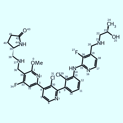 COc1nc(-c2ccnc(-c3cccc(Nc4nccc(CNC[C@@H](C)O)c4F)c3Cl)c2Cl)cc(F)c1CNC[C@@H]1CCC(=O)N1